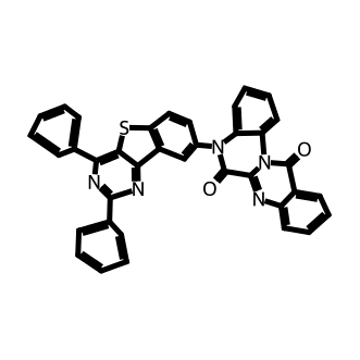 O=c1c2nc3ccccc3c(=O)n2c2ccccc2n1-c1ccc2sc3c(-c4ccccc4)nc(-c4ccccc4)nc3c2c1